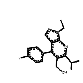 CCn1ncc2c(-c3ccc(F)cc3)c(CO)c(C(C)C)nc21